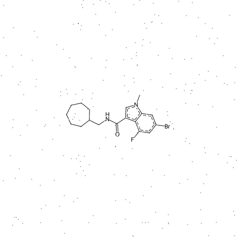 Cn1cc(C(=O)NCC2CCCCCC2)c2c(F)cc(Br)cc21